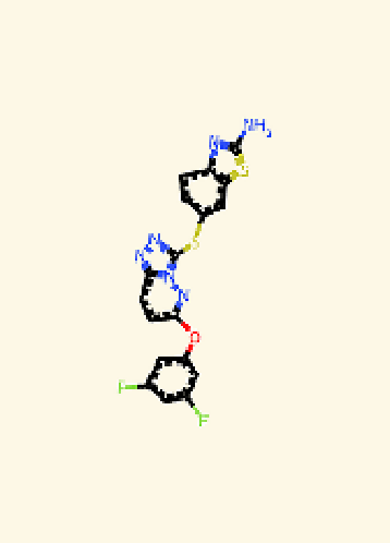 Nc1nc2ccc(Sc3nnc4ccc(Oc5cc(F)cc(F)c5)nn34)cc2s1